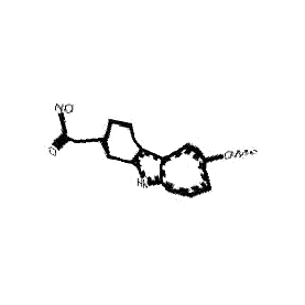 COc1ccc2[nH]c3c(c2c1)CCC(C(=O)N=O)C3